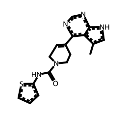 Cc1c[nH]c2ncnc(C3=CCN(C(=O)Nc4cccs4)CC3)c12